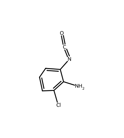 Nc1c(Cl)cccc1N=C=O